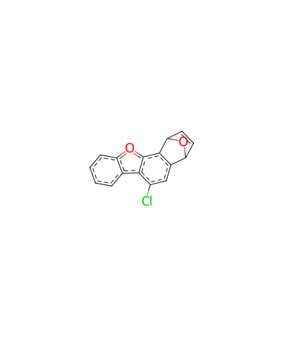 Clc1cc2c(c3oc4ccccc4c13)C1C=CC2O1